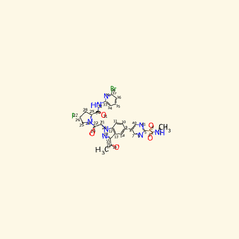 CNS(=O)(=O)c1ncc(-c2ccc3c(c2)c(C(C)=O)nn3CC(=O)N2C[C@H](F)C[C@H]2C(=O)Nc2cccc(Br)n2)cn1